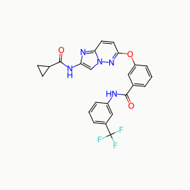 O=C(Nc1cccc(C(F)(F)F)c1)c1cccc(Oc2ccc3nc(NC(=O)C4CC4)cn3n2)c1